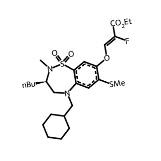 CCCC[C@@H]1CN(CC2CCCCC2)c2cc(SC)c(O/C=C(\F)C(=O)OCC)cc2S(=O)(=O)N1C